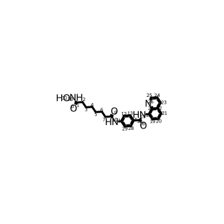 O=C(CCCCCCC(=O)Nc1ccc(C(=O)Nc2cccc3cccnc23)cc1)NO